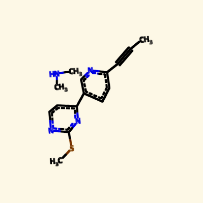 CC#Cc1ccc(-c2ccnc(SC)n2)cn1.CNC